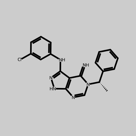 C[C@@H](c1ccccc1)n1cnc2[nH]nc(Nc3cccc(Cl)c3)c2c1=N